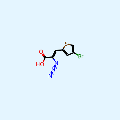 [N-]=[N+]=N/C(=C\c1cc(Br)cs1)C(=O)O